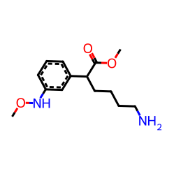 CONc1cccc(C(CCCCN)C(=O)OC)c1